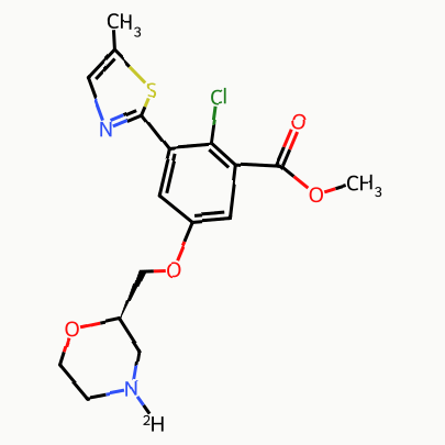 [2H]N1CCO[C@@H](COc2cc(C(=O)OC)c(Cl)c(-c3ncc(C)s3)c2)C1